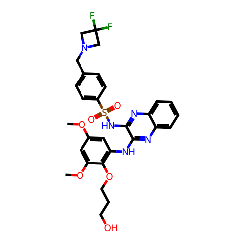 COc1cc(Nc2nc3ccccc3nc2NS(=O)(=O)c2ccc(CN3CC(F)(F)C3)cc2)c(OCCCO)c(OC)c1